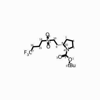 CC(C)(C)OC(=O)N1CCC[C@H]1CCS(=O)(=O)CCCC(F)(F)F